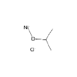 CC(C)[O][Ni+].[Cl-]